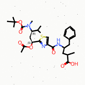 CC(=O)O[C@@H](C[C@H](C(C)C)N(C)C(=O)OC(C)(C)C)c1nc(C(=O)NC(Cc2ccccc2)CC(C)C(=O)O)cs1